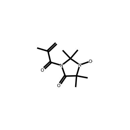 C=C(C)C(=O)N1C(=O)C(C)(C)N([O])C1(C)C